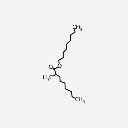 CCCCCCCCCOC(=O)C(C)CCCCCCC